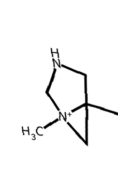 C[N+]12CNCC1(I)C2